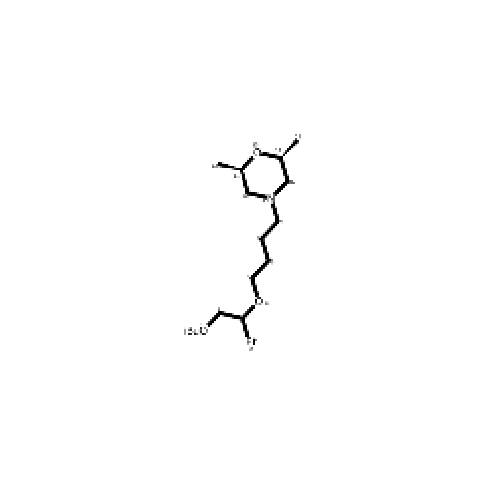 CCC(COCC(C)C)OCCCCN1C[C@@H](C)O[C@@H](C)C1